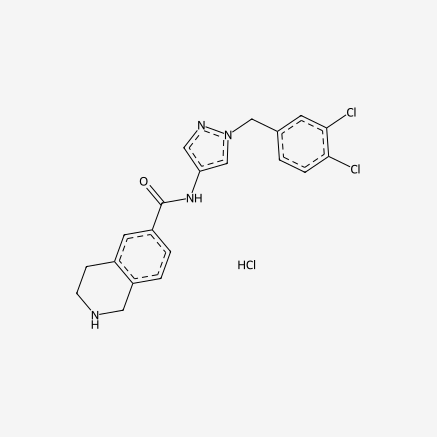 Cl.O=C(Nc1cnn(Cc2ccc(Cl)c(Cl)c2)c1)c1ccc2c(c1)CCNC2